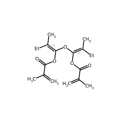 C=C(C)C(=O)O/C(O/C(OC(=O)C(=C)C)=C(\C)CC)=C(/C)CC